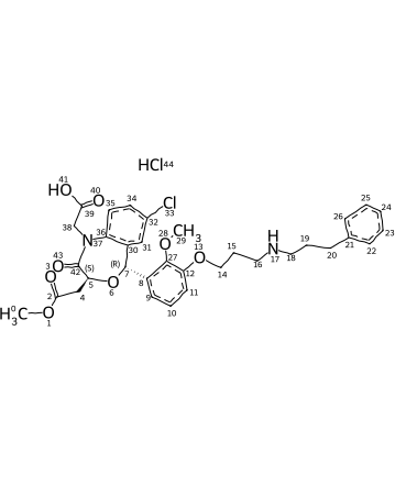 COC(=O)C[C@@H]1O[C@@H](c2cccc(OCCCNCCCc3ccccc3)c2OC)c2cc(Cl)ccc2N(CC(=O)O)C1=O.Cl